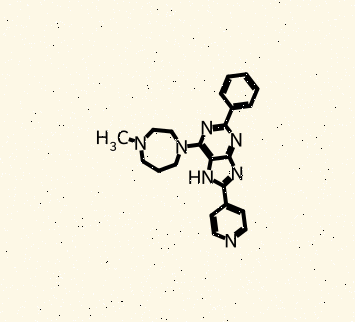 CN1CCCN(c2nc(-c3ccccc3)nc3nc(-c4ccncc4)[nH]c23)CC1